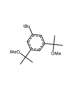 COC(C)(C)c1cc(C(C)(C)C)cc(C(C)(C)OC)c1